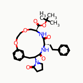 CC(C)(C)OC(=O)[C@@H]1COCCOc2cccc(c2)C[C@H](N2CCCC2=O)C(=O)N[C@@H](CCc2ccccc2)C(=O)N1